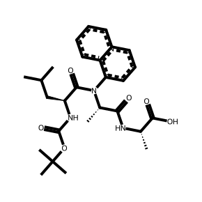 CC(C)C[C@H](NC(=O)OC(C)(C)C)C(=O)N(c1cccc2ccccc12)[C@@H](C)C(=O)N[C@@H](C)C(=O)O